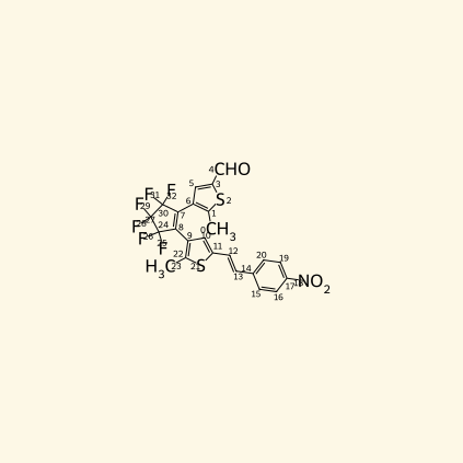 Cc1sc(C=O)cc1C1=C(c2cc(C=Cc3ccc([N+](=O)[O-])cc3)sc2C)C(F)(F)C(F)(F)C1(F)F